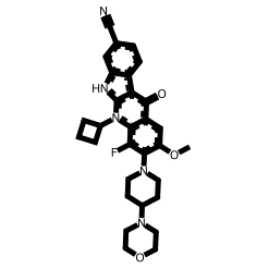 COc1cc2c(=O)c3c4ccc(C#N)cc4[nH]c3n(C3CCC3)c2c(F)c1N1CCC(N2CCOCC2)CC1